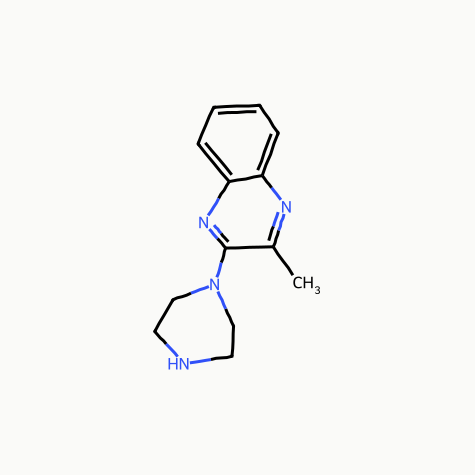 Cc1nc2ccccc2nc1N1CCNCC1